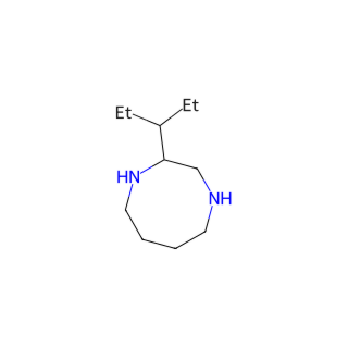 CCC(CC)C1CNCCCCN1